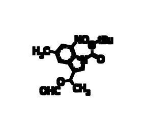 Cc1cc([N+](=O)[O-])c2c(c1)c(C(C)OC=O)cn2C(=O)OC(C)(C)C